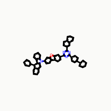 c1ccc(-c2ccc(-c3nc(-c4ccc5ccccc5c4)nc(-c4ccc5c(c4)oc4cc(-n6c7ccccc7c7c(-c8ccccc8)c8ccccc8cc76)ccc45)n3)cc2)cc1